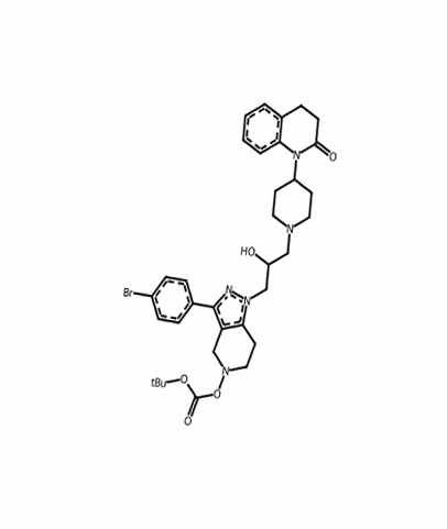 CC(C)(C)OC(=O)ON1CCc2c(c(-c3ccc(Br)cc3)nn2CC(O)CN2CCC(N3C(=O)CCc4ccccc43)CC2)C1